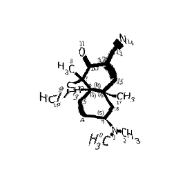 CN(C)[C@H]1CC[C@@H]2C(C)(C)C(=O)C(C#N)=C[C@]2(C)C1.Cl